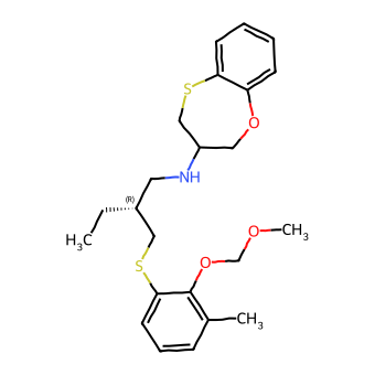 CC[C@H](CNC1COc2ccccc2SC1)CSc1cccc(C)c1OCOC